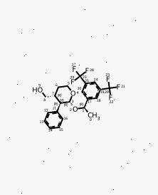 C[C@@H](O[C@H]1OCC[C@@H](CO)[C@@H]1c1ccccc1)c1cc(C(F)(F)F)cc(C(F)(F)F)c1